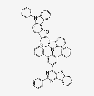 c1ccc(-c2nc(-c3cc(-c4ccccc4)c(-n4c5ccccc5c5c6oc7c(ccc8c7c7ccccc7n8-c7ccccc7)c6ccc54)c(-c4ccccc4)c3)c3sc4ccccc4c3n2)cc1